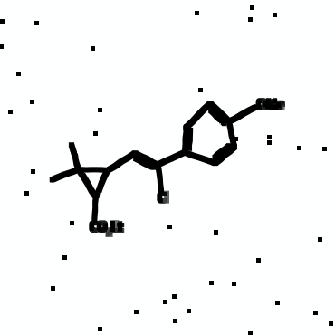 CCOC(=O)C1C(C=C(Cl)c2ccc(OC)cc2)C1(C)C